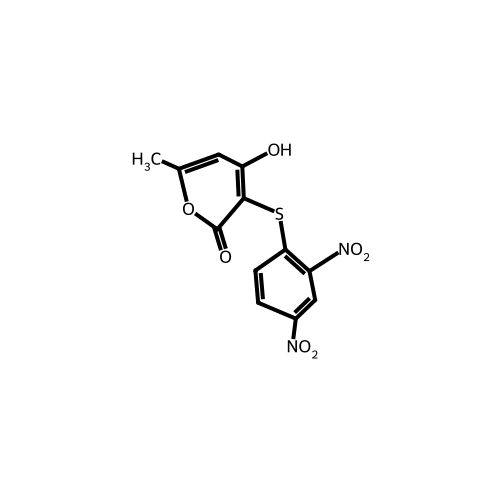 Cc1cc(O)c(Sc2ccc([N+](=O)[O-])cc2[N+](=O)[O-])c(=O)o1